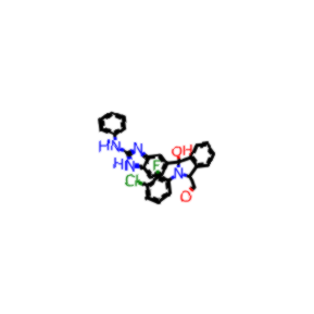 O=CC1c2ccccc2C(O)(c2ccc3[nH]c(Nc4ccccc4)nc3c2)N1c1cccc(Cl)c1F